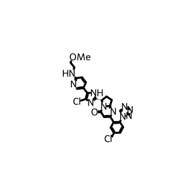 COCCNc1ccc(-c2[nH]c([C@@H]3CCc4nc(-c5cc(Cl)ccc5-n5cnnn5)cc(=O)n43)nc2Cl)cn1